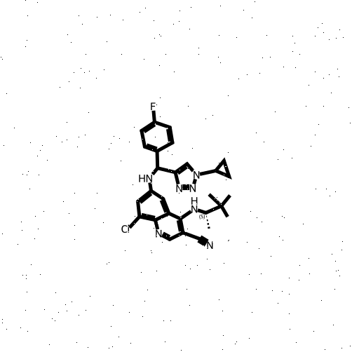 C[C@H](Nc1c(C#N)cnc2c(Cl)cc(NC(c3ccc(F)cc3)c3cn(C4CC4)nn3)cc12)C(C)(C)C